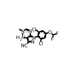 CN(C)/C=N\c1c(N)c(C#N)nn1-c1c(Cl)cc(OC(F)F)cc1Cl